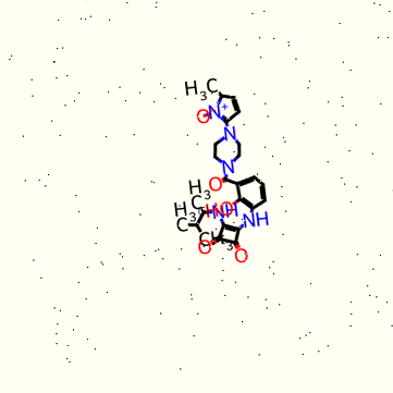 CC(C)[C@H](C)Nc1c(Nc2cccc(C(=O)N3CCN(C4=[N+]([O-])C(C)C=C4)CC3)c2O)c(=O)c1=O